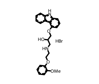 Br.COc1ccccc1OCCNCC(O)COc1cccc2[nH]c3ccccc3c12